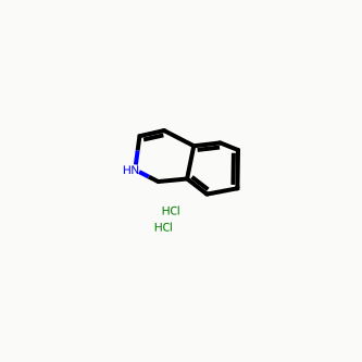 C1=Cc2ccccc2CN1.Cl.Cl